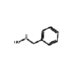 [NH]NCc1ccccc1